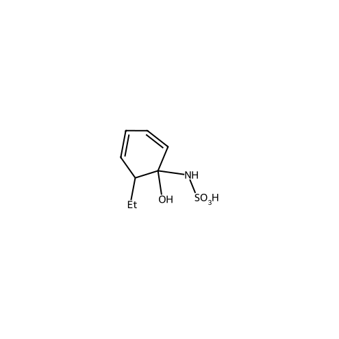 CCC1C=CC=CC1(O)NS(=O)(=O)O